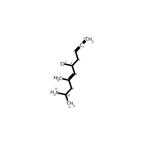 C=C=CCC(Cl)/C=C(\C)CC(C)N